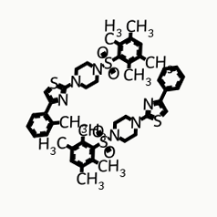 Cc1cc(C)c(C)c(S(=O)(=O)N2CCN(c3nc(-c4ccccc4)cs3)CC2)c1C.Cc1ccccc1-c1csc(N2CCN(S(=O)(=O)c3c(C)c(C)cc(C)c3C)CC2)n1